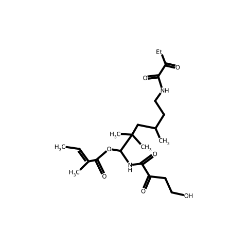 CC=C(C)C(=O)OC(NC(=O)C(=O)CCO)C(C)(C)CC(C)CCNC(=O)C(=O)CC